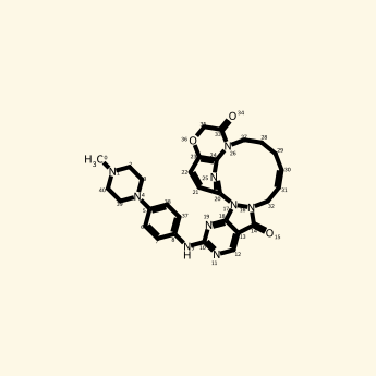 CN1CCN(c2ccc(Nc3ncc4c(=O)n5n(c4n3)-c3ccc4c(n3)N(CCC/C=C\C5)C(=O)CO4)cc2)CC1